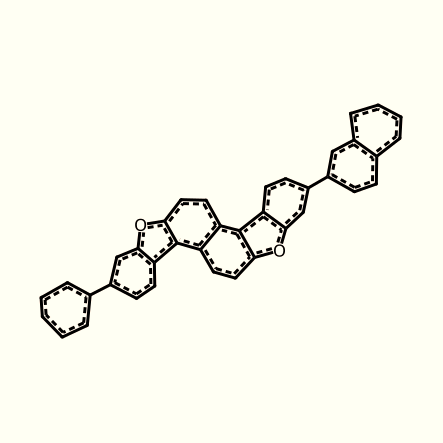 c1ccc(-c2ccc3c(c2)oc2ccc4c(ccc5oc6cc(-c7ccc8ccccc8c7)ccc6c54)c23)cc1